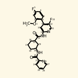 COc1cc(F)ccc1-c1cc(NC(=O)C2CCCC(NC(=O)c3ccccn3)C2)ncc1F